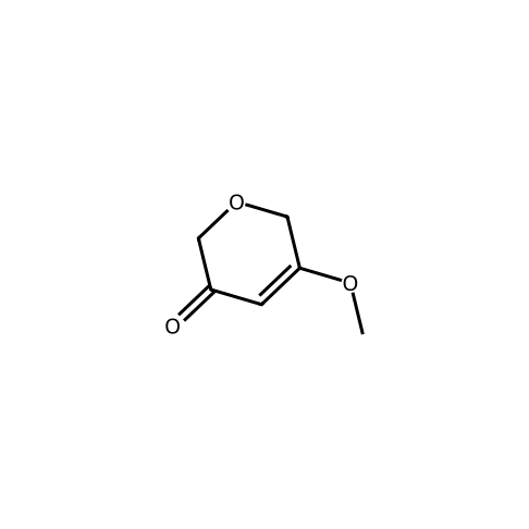 COC1=CC(=O)COC1